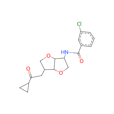 O=C(NC1COC2C(CC(=O)C3CC3)COC12)c1cccc(Cl)c1